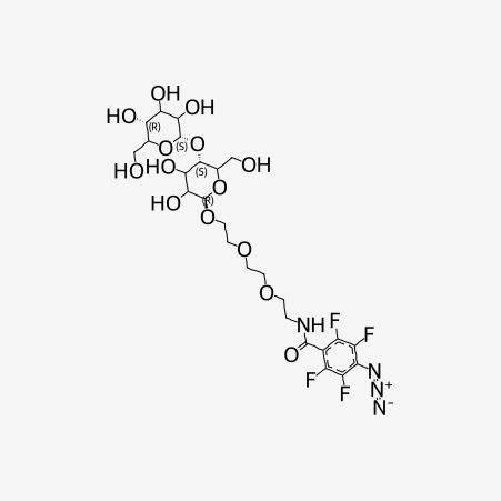 [N-]=[N+]=Nc1c(F)c(F)c(C(=O)NCCOCCOCCO[C@@H]2OC(CO)[C@@H](O[C@@H]3OC(CO)[C@H](O)C(O)C3O)C(O)C2O)c(F)c1F